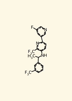 CC(Nc1ccc(-c2cncc(F)c2)nc1C(F)(F)F)c1cccc(C(F)(F)F)c1